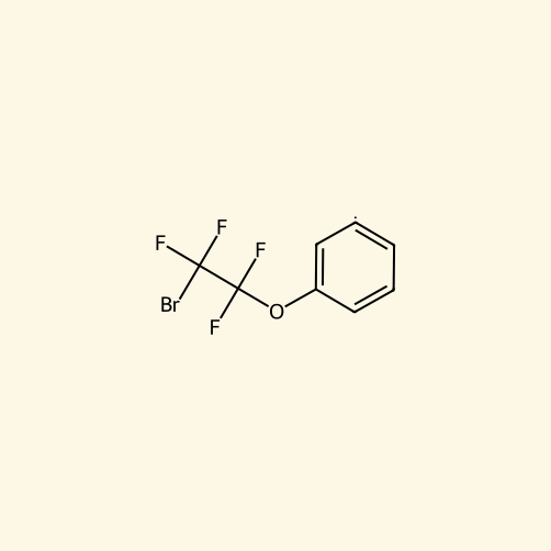 FC(F)(Br)C(F)(F)Oc1c[c]ccc1